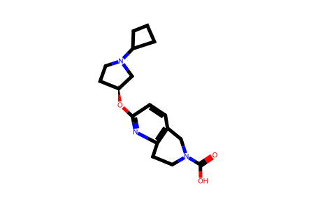 O=C(O)N1CCc2nc(O[C@H]3CCN(C4CCC4)C3)ccc2C1